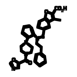 Cc1c(C(=O)O)oc2ccc(SN(CCc3ccccc3)c3ccccc3N3CCN(C(=O)c4cnco4)CC3)cc12